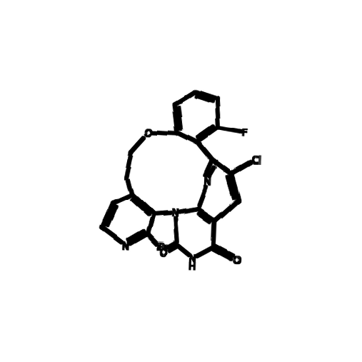 CC(C)c1nccc2c1-n1c(=O)[nH]c(=O)c3cc(Cl)c(nc31)-c1c(F)cccc1OCC2